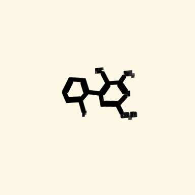 CCOC(=O)c1cc(-c2ccccc2F)c(C#N)c(N)n1